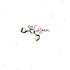 CCOC(=O)c1cc(C2OC(C)O2)c(-c2cccs2)cc1-c1cccs1